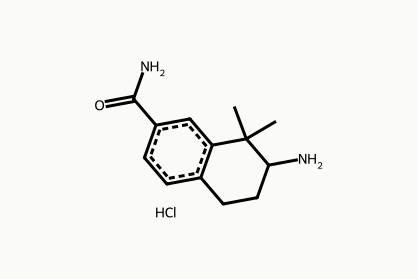 CC1(C)c2cc(C(N)=O)ccc2CCC1N.Cl